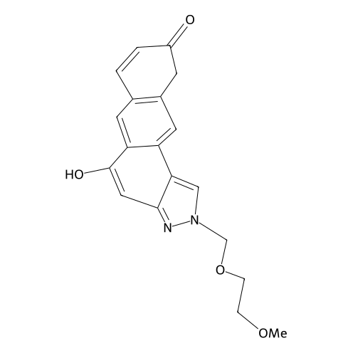 COCCOCn1cc2c(cc(O)c3cc4c(cc32)CC(=O)C=C4)n1